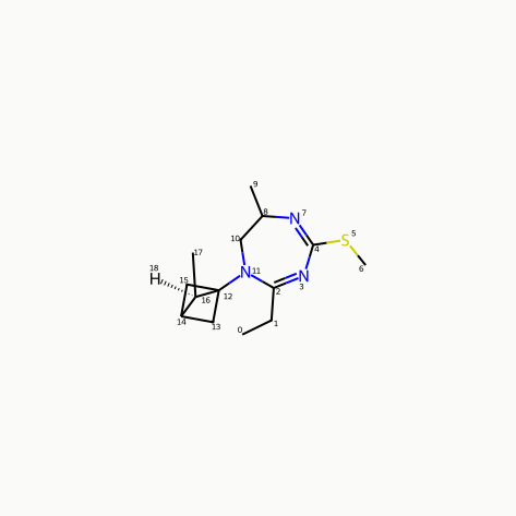 CCC1=NC(SC)=NC(C)CN1C12CC(C1)[C@H]2C